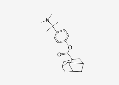 CN(C)C(C)(C)c1ccc(OC(=O)C23CC4CC(CC(C4)C2)C3)cc1